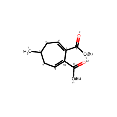 CC(C)COC(=O)C1=CCC(C)CC=C1C(=O)OCC(C)C